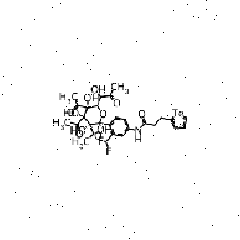 CC(=O)C(O)[C@H]1O[C@](O)(c2ccc(NC(=O)CCc3ccc[te]3)cc2C(F)F)[C@@](O)(C(C)=O)[C@](O)(C(C)=O)[C@]1(O)C(C)=O